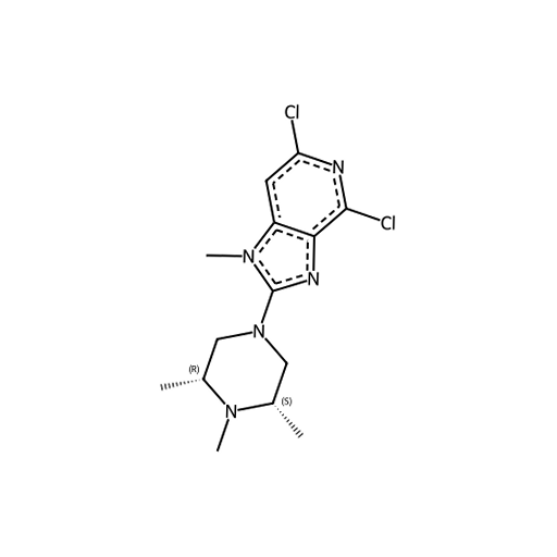 C[C@@H]1CN(c2nc3c(Cl)nc(Cl)cc3n2C)C[C@H](C)N1C